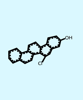 Oc1ccc2c(c1)cc(Cl)c1c2ccc2c3ccccc3ccc21